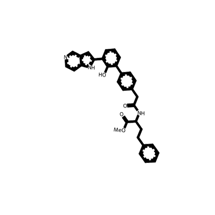 COC(=O)C(CCc1ccccc1)NC(=O)Cc1ccc(-c2cccc(-c3cc4cnccc4[nH]3)c2O)cc1